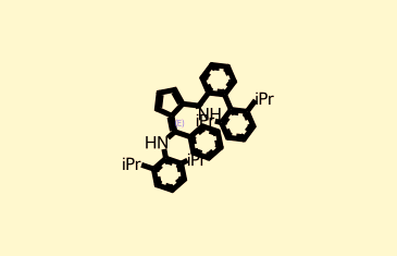 CC(C)c1cccc(C(C)C)c1N/C(=C1\C=CC=C1C(=N)c1ccccc1-c1c(C(C)C)cccc1C(C)C)c1ccccc1